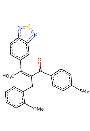 COc1ccccc1CC(C(=O)c1ccc(SC)cc1)=C(C(=O)O)c1ccc2nsnc2c1